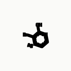 Oc1ncccc1Br.[Ag]